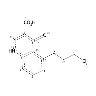 O=C(O)c1n[nH]c2cccc(CCCCl)c2c1=O